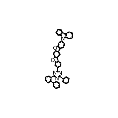 c1ccc(-c2nc(-c3ccc4c(c3)oc3cc5oc6cc(-n7c8ccccc8c8ccccc87)ccc6c5cc34)nc(-c3ccccc3-c3ccccc3)n2)cc1